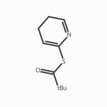 CC(C)(C)C(=O)SC1=CCCC=N1